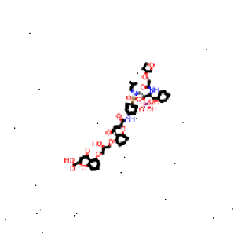 CC(C)CN(C[C@@H](OP(=O)(O)O)[C@H](Cc1ccccc1)NC(=O)COC1CCOC1)S(=O)(=O)c1ccc(NC(=O)c2cc(=O)c3c(OCC(O)COc4cccc5oc(C(=O)O)cc(=O)c45)cccc3o2)cc1